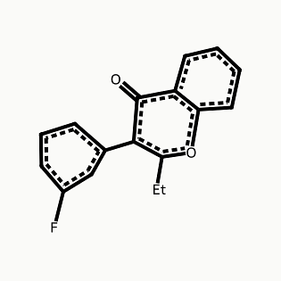 CCc1oc2ccccc2c(=O)c1-c1cccc(F)c1